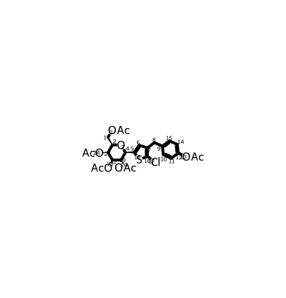 CC(=O)OC[C@H]1O[C@@H](c2cc(Cc3ccc(OC(C)=O)cc3)c(Cl)s2)[C@H](OC(C)=O)[C@@H](OC(C)=O)[C@@H]1OC(C)=O